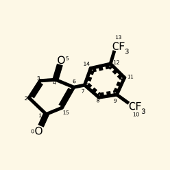 O=C1C=CC(=O)C(c2cc(C(F)(F)F)cc(C(F)(F)F)c2)=C1